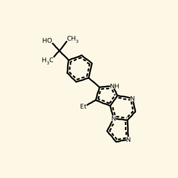 CCc1c(-c2ccc(C(C)(C)O)cc2)[nH]c2ncc3nccn3c12